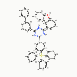 c1ccc(-c2cccc(-c3nc(-c4ccc(S(c5ccccc5)(c5ccccc5)c5ccccc5)cc4)nc(-c4cccc5oc6ccccc6c45)n3)c2)cc1